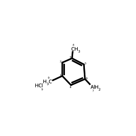 Cc1cc(C)c[c]([AlH2])c1.Cl